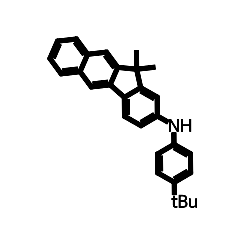 CC(C)(C)c1ccc(Nc2ccc3c(c2)C(C)(C)c2cc4ccccc4cc2-3)cc1